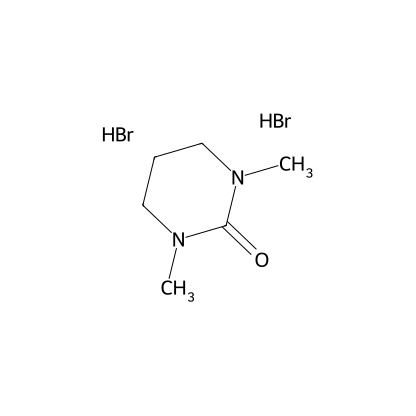 Br.Br.CN1CCCN(C)C1=O